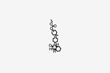 CCOC(=O)ON1CCC(C)(N2CCC(N3C(=O)N[C@@H]4CCCC[C@H]43)CC2)CC1